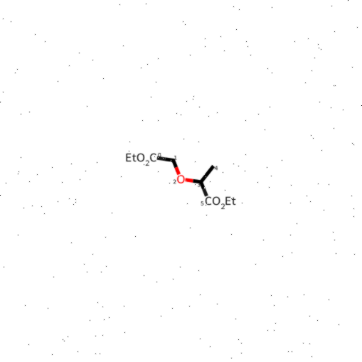 CCOC(=O)COC(C)C(=O)OCC